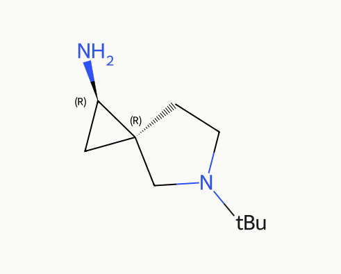 CC(C)(C)N1CC[C@@]2(C[C@H]2N)C1